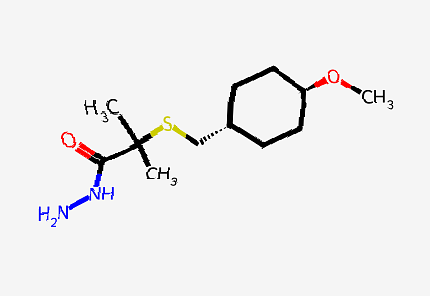 CO[C@H]1CC[C@H](CSC(C)(C)C(=O)NN)CC1